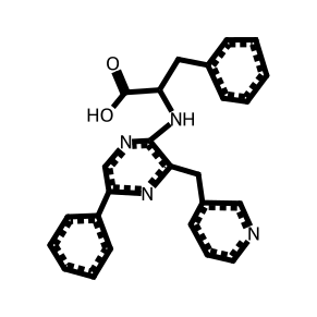 O=C(O)C(Cc1ccccc1)Nc1ncc(-c2ccccc2)nc1Cc1cccnc1